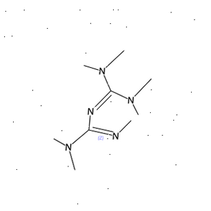 C/N=C(\N=C(N(C)C)N(C)C)N(C)C